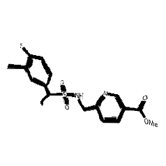 COC(=O)c1ccc(CNS(=O)(=O)C(C)c2ccc(F)c(C)c2)nc1